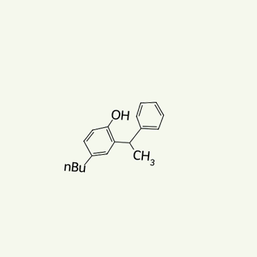 CCCCc1ccc(O)c(C(C)c2ccccc2)c1